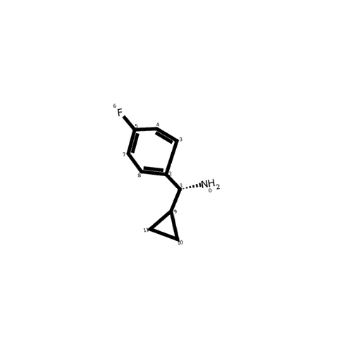 N[C@@H](c1ccc(F)cc1)C1CC1